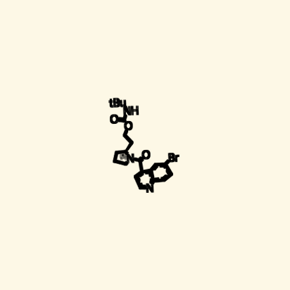 CC(C)(C)NC(=O)OCC[C@@H]1CCCN1C(=O)c1ccnc2ccc(Br)cc12